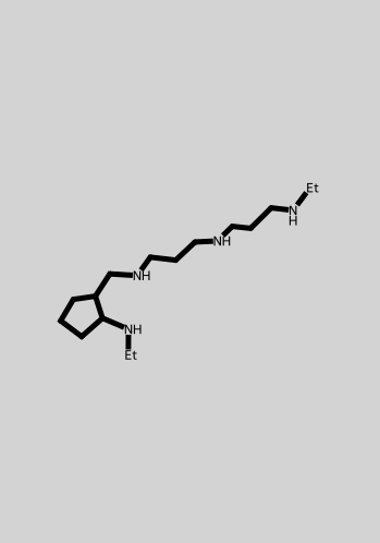 CCNCCCNCCCNCC1CCCC1NCC